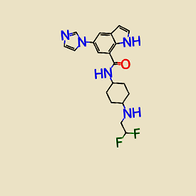 O=C(NC1CCC(NCC(F)F)CC1)c1cc(-n2ccnc2)cc2cc[nH]c12